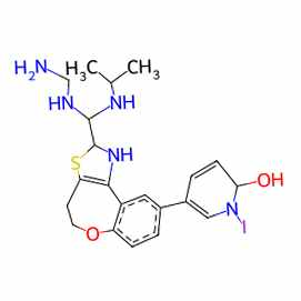 CC(C)NC(NCN)C1NC2=C(CCOc3ccc(C4=CN(I)C(O)C=C4)cc32)S1